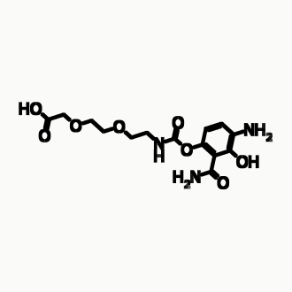 NC(=O)c1c(OC(=O)NCCOCCOCC(=O)O)ccc(N)c1O